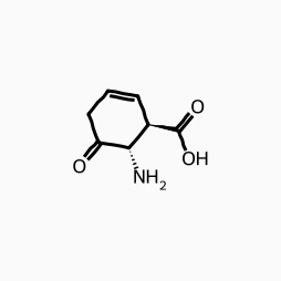 N[C@@H]1C(=O)CC=C[C@H]1C(=O)O